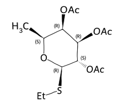 CCS[C@H]1O[C@@H](C)[C@@H](OC(C)=O)[C@@H](OC(C)=O)[C@@H]1OC(C)=O